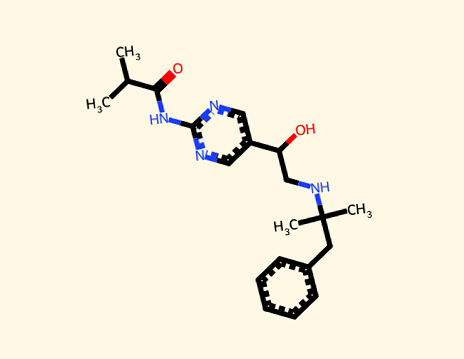 CC(C)C(=O)Nc1ncc(C(O)CNC(C)(C)Cc2ccccc2)cn1